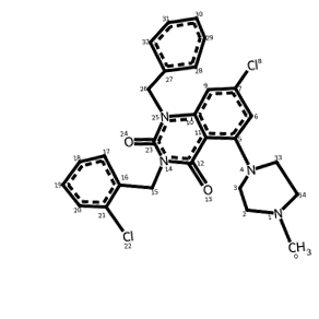 CN1CCN(c2cc(Cl)cc3c2c(=O)n(Cc2ccccc2Cl)c(=O)n3Cc2ccccc2)CC1